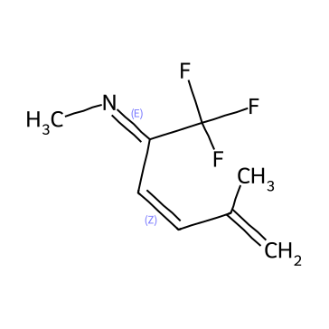 C=C(C)/C=C\C(=N/C)C(F)(F)F